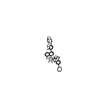 COc1ccc(C2CCCCC2)cc1NC(=O)Nc1ccc(-c2ccc(N3CCOCC3)nc2C)c2ccccc12